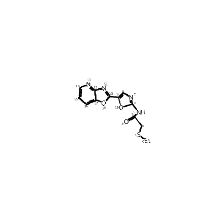 CCSCC(=O)Nc1ncc(-c2nc3ncccc3o2)o1